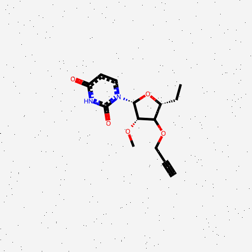 C#CCOC1[C@@H](CC)O[C@@H](n2ccc(=O)[nH]c2=O)[C@H]1OC